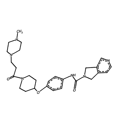 CN1CCN(CCC(=O)N2CCC(Oc3ccc(NC(=O)N4Cc5ccncc5C4)cc3)CC2)CC1